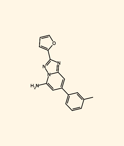 Cc1cccc(-c2cc(N)n3nc(-c4ccco4)nc3c2)c1